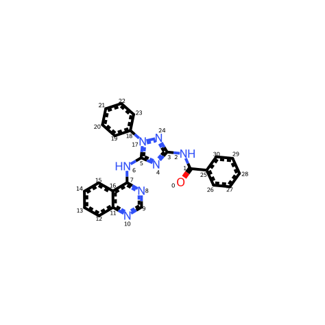 O=C(Nc1nc(Nc2ncnc3ccccc23)n(-c2ccccc2)n1)c1ccccc1